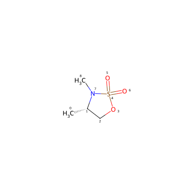 C[C@H]1COS(=O)(=O)N1C